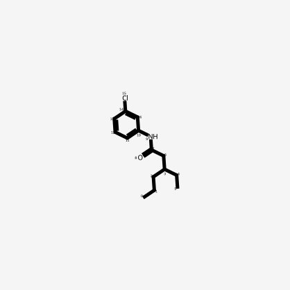 CCCC(CC)CC(=O)Nc1cccc(Cl)c1